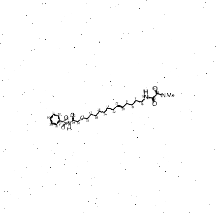 CNC(=O)C(=O)NCCCCC=CCCCCCCCOCC(=O)NS(=O)(=O)c1ccccc1